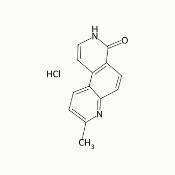 Cc1ccc2c(ccc3c(=O)[nH]ccc32)n1.Cl